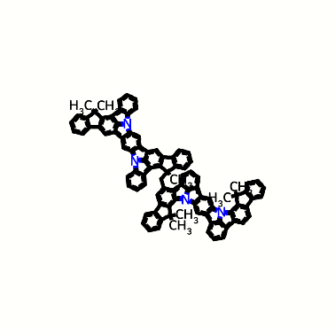 CC1(C)c2ccccc2-c2cc3c4cc5c(cc4n4c6ccccc6c(c21)c34)c1cc2c(c3c4ccccc4n5c13)C(C)(Cc1cc3c(c4c1c1cccc5c6cc7c(cc6n4c51)c1cccc4c5ccc6c(c5n7c14)C(C)(C)c1ccccc1-6)C(C)(C)c1ccccc1-3)c1ccccc1-2